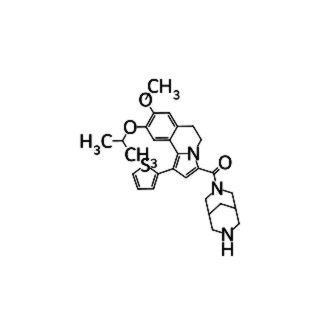 COc1cc2c(cc1OC(C)C)-c1c(-c3cccs3)cc(C(=O)N3CC4CNCC(C4)C3)n1CC2